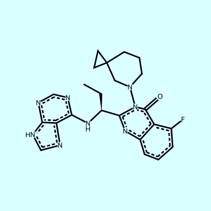 CC[C@H](Nc1ncnc2[nH]cnc12)c1nc2cccc(F)c2c(=O)n1N1CCCC2(CC2)C1